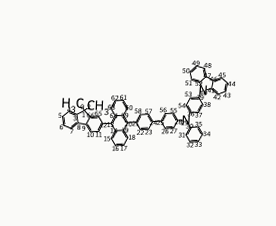 CC1(C)c2ccccc2-c2ccc(-c3c4ccccc4c(-c4ccc(-c5ccc(N(c6ccccc6)c6ccc(-n7c8ccccc8c8ccccc87)cc6)cc5)cc4)c4ccccc34)cc21